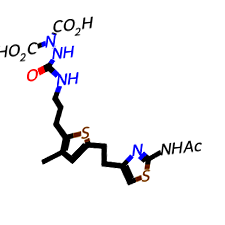 CC(=O)Nc1nc(CCc2cc(C)c(CCCNC(=O)NN(C(=O)O)C(=O)O)s2)cs1